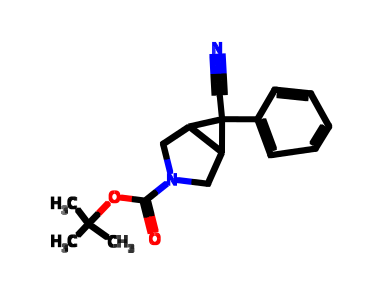 CC(C)(C)OC(=O)N1CC2C(C1)C2(C#N)c1ccccc1